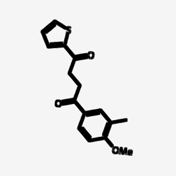 COc1ccc(C(=O)CCC(=O)c2cccs2)cc1C